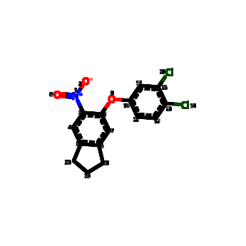 O=[N+]([O-])c1cc2c(cc1Oc1ccc(Cl)c(Cl)c1)CCC2